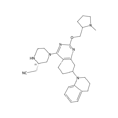 CN1CCCC1COc1nc2c(c(N3CCN[C@@H](CC#N)C3)n1)CCC(N1CCCc3ccccc31)C2